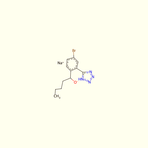 CCCCC([O-])c1ccc(Br)cc1-c1nnn[nH]1.[Na+]